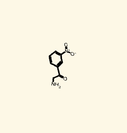 NCC(=O)c1cccc([N+](=O)[O-])c1